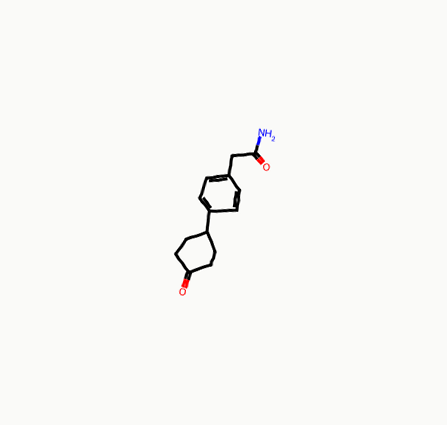 NC(=O)Cc1ccc(C2CCC(=O)CC2)cc1